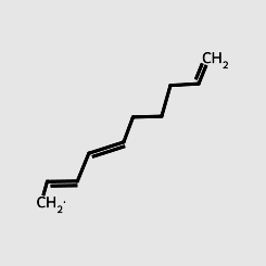 [CH2]/C=C/C=C/CCCC=C